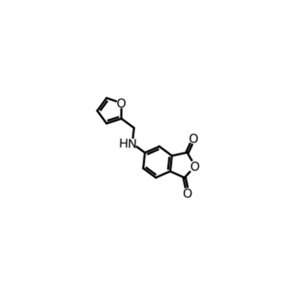 O=C1OC(=O)c2cc(NCc3ccco3)ccc21